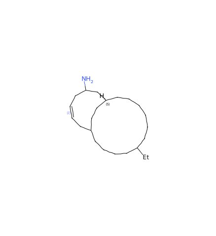 CCC1CCCCCC[C@H]2CCC(C/C=C\CC(N)C2)CCCC1